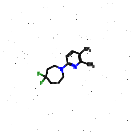 Cc1nc(N2CCCC(F)(F)CC2)ccc1C(F)(F)F